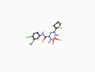 CN1C(C(=O)Nc2ccc(F)c(C#N)c2)CC(c2cccs2)NS1(=O)=O